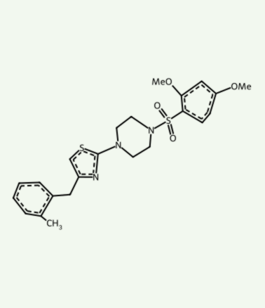 COc1ccc(S(=O)(=O)N2CCN(c3nc(Cc4ccccc4C)cs3)CC2)c(OC)c1